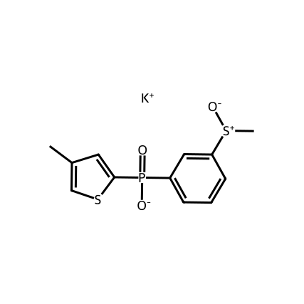 Cc1csc(P(=O)([O-])c2cccc([S+](C)[O-])c2)c1.[K+]